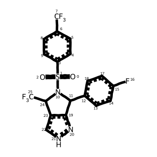 O=S(=O)(c1ccc(C(F)(F)F)cc1)N1C(c2ccc(F)cc2)c2n[nH]cc2C1C(F)(F)F